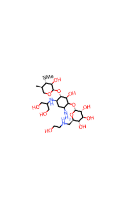 CN[C@@H]1[C@@H](O)[C@@H](O[C@H]2[C@H](NC(CO)CO)C[C@H](N)C(O[C@H]3O[C@H](CNCCO)[C@@H](O)[C@H](O)[C@H]3O)[C@@H]2O)OC[C@H]1C